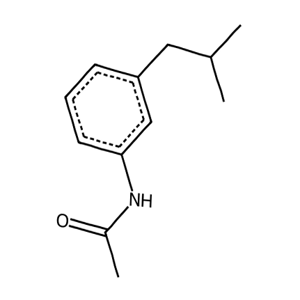 CC(=O)Nc1cccc(CC(C)C)c1